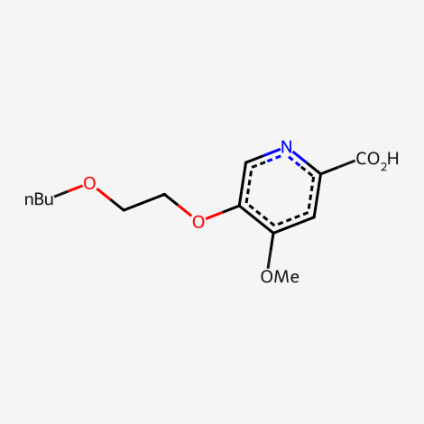 CCCCOCCOc1cnc(C(=O)O)cc1OC